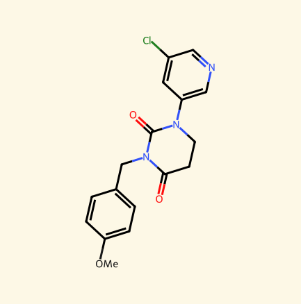 COc1ccc(CN2C(=O)CCN(c3cncc(Cl)c3)C2=O)cc1